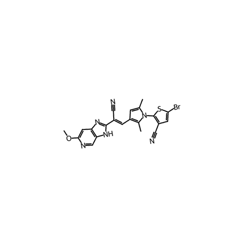 COc1cc2nc(C(C#N)=Cc3cc(C)n(-c4sc(Br)cc4C#N)c3C)[nH]c2cn1